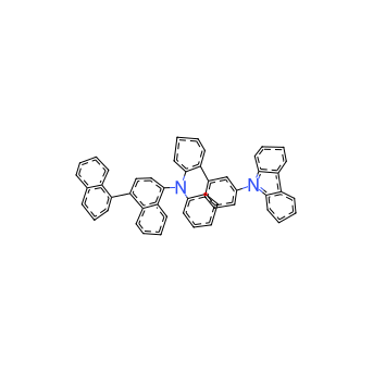 c1ccc(N(c2ccccc2-c2cccc(-n3c4ccccc4c4ccccc43)c2)c2ccc(-c3cccc4ccccc34)c3ccccc23)cc1